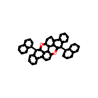 c1ccc2c(-c3c4ccccc4c4ccc5oc6c(-c7cccc8ccccc78)c7ccccc7c7ccc8oc3c4c5-c8c67)cccc2c1